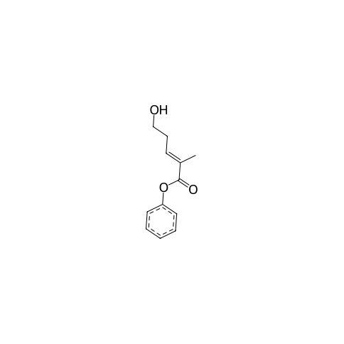 CC(=CCCO)C(=O)Oc1ccccc1